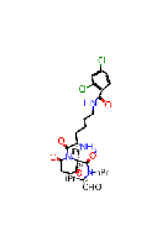 CCCN(C(=O)[C@@]1(C(C)C)C(=O)CCC(=O)N1C(=O)[C@@H](N)CCCCNC(=O)c1ccc(Cl)cc1Cl)[C@H](C=O)C(C)C